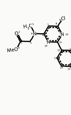 COC(=O)CN(C)c1cc(Cl)nc(-c2ccc(Cl)cc2)n1